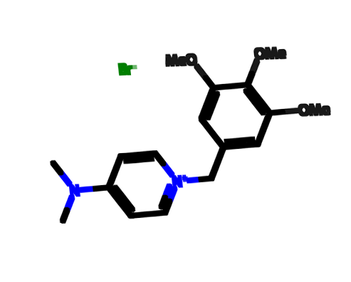 COc1cc(C[n+]2ccc(N(C)C)cc2)cc(OC)c1OC.[Br-]